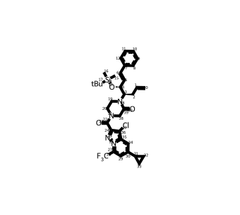 C=CC[C@H]([C@@H](/C=C/c1ccccc1)O[Si](C)(C)C(C)(C)C)N1CCN(C(=O)c2nn3c(C(F)(F)F)cc(C4CC4)cc3c2Cl)CC1=O